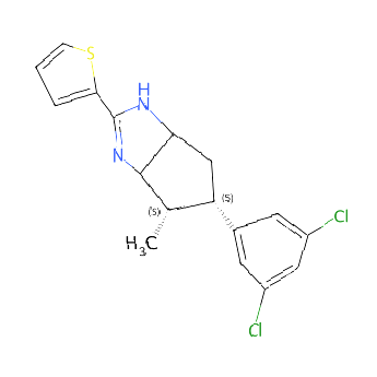 C[C@@H]1C2N=C(c3cccs3)NC2C[C@@H]1c1cc(Cl)cc(Cl)c1